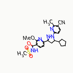 COc1nc(C2=NN(c3ccc(C#N)c(C)n3)C(C3CCCC3)C2)ccc1C(=O)NS(C)(=O)=O